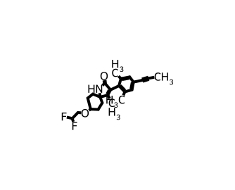 CC#Cc1cc(C)c(C2=C(C)C3(CCC(OCC(F)F)CC3)NC2=O)c(C)c1